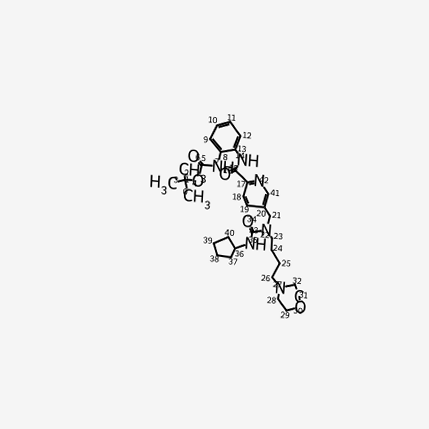 CC(C)(C)OC(=O)Nc1ccccc1NC(=O)c1ccc(CN(CCCCN2CCOCC2)C(=O)NC2CCCC2)cn1